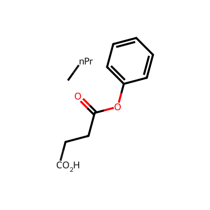 CCCC.O=C(O)CCC(=O)Oc1ccccc1